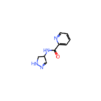 O=C(NC1C=NNC1)c1ccccn1